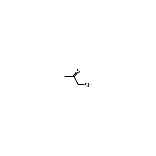 CC(=S)CS